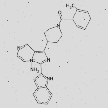 CC1=CCC=CC1C(=O)N1CCC(C2=C3C=NC=C[N+]3(N)C(c3cc4ccccc4[nH]3)=N2)CC1